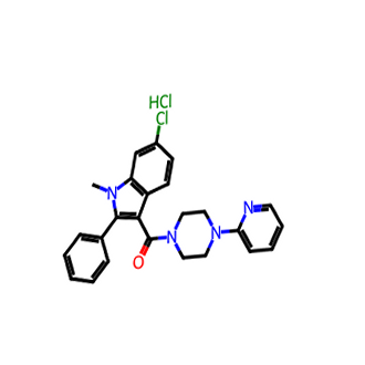 Cl.Cn1c(-c2ccccc2)c(C(=O)N2CCN(c3ccccn3)CC2)c2ccc(Cl)cc21